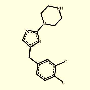 Clc1ccc(Cc2csc(N3CCNCC3)n2)cc1Cl